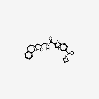 O=C(NC[C@@H](O)CN1CCc2ccccc2C1)c1cn2cc(C(=O)N3CCC3)ccc2n1